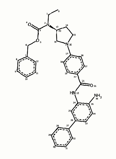 CCN(C(=O)OCc1ccccc1)[C@H]1CCN(c2ccc(C(=O)Nc3cc(-c4ccccc4)ccc3N)cc2)C1